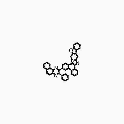 c1ccc(-c2nc3ccc4ccccc4c3nc2-c2ccc3c(c2)c2ccccc2c2nc4cc5c(cn4c32)oc2ccccc25)cc1